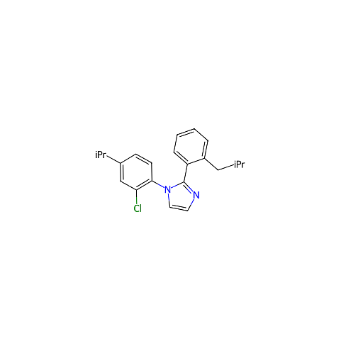 CC(C)Cc1ccccc1-c1nccn1-c1ccc(C(C)C)cc1Cl